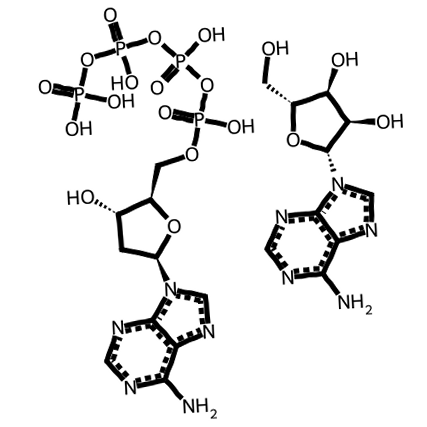 Nc1ncnc2c1ncn2[C@@H]1O[C@H](CO)[C@@H](O)[C@H]1O.Nc1ncnc2c1ncn2[C@H]1C[C@H](O)[C@@H](COP(=O)(O)OP(=O)(O)OP(=O)(O)OP(=O)(O)O)O1